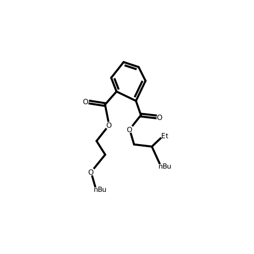 CCCCOCCOC(=O)c1ccccc1C(=O)OCC(CC)CCCC